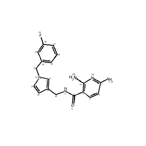 Nc1ccc(C(=O)NCc2ccn(Cc3cccc(F)c3)c2)c(N)n1